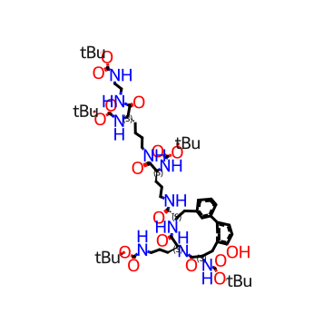 CC(C)(C)OC(=O)NCCC[C@@H]1NC(=O)[C@@H](NC(=O)OC(C)(C)C)Cc2cc(ccc2O)-c2cccc(c2)C[C@@H](C(=O)NCCC[C@H](NC(=O)OC(C)(C)C)C(=O)NCCCC[C@H](NC(=O)OC(C)(C)C)C(=O)NCCNC(=O)OC(C)(C)C)NC1=O